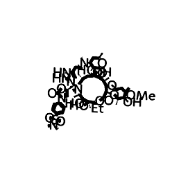 CC[C@H]1OC(=O)[C@H](C)[C@@H](O[C@H]2C[C@@](C)(OC)[C@@H](O)[C@H](C)O2)[C@H](C)[C@@H](O[C@@H]2O[C@H](C)C[C@H](N(C)CCC3=CN(C[C@H]4CN(c5ccc(S(=O)(=O)N(C)C)cc5)C(=O)O4)NN3)[C@H]2O)[C@](C)(O)C[C@@H](C)CN(C)[C@H](C)[C@@H](O)[C@]1(C)O